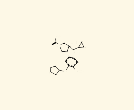 COC(=O)N1C[C@@H](c2ccc(OC)c(OC3CCCC3)c2)[C@](C)([C@@H](O)C2CC2)C1